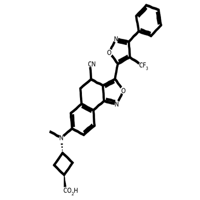 CN(c1ccc2c(c1)CC(C#N)c1c-2noc1-c1onc(-c2ccccc2)c1C(F)(F)F)[C@H]1C[C@H](C(=O)O)C1